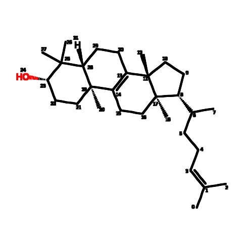 CC(C)=CCCC(C)[C@H]1CC[C@@]2(C)C3=C(CC[C@]12C)[C@@]1(C)CC[C@H](O)C(C)(C)[C@@H]1CC3